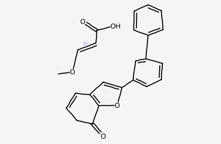 CO/C=C/C(=O)O.O=C1CC=Cc2cc(-c3cccc(-c4ccccc4)c3)oc21